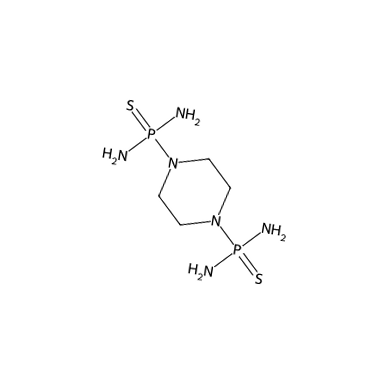 NP(N)(=S)N1CCN(P(N)(N)=S)CC1